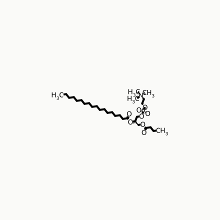 CCCCCCCCCCCCCCCCCC(=O)O[C@H](COC(=O)CCC)COP(=O)([O-])OCC[N+](C)(C)C